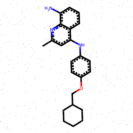 Cc1cc(Nc2ccc(OCC3CCCCC3)cc2)c2cccc(N)c2n1